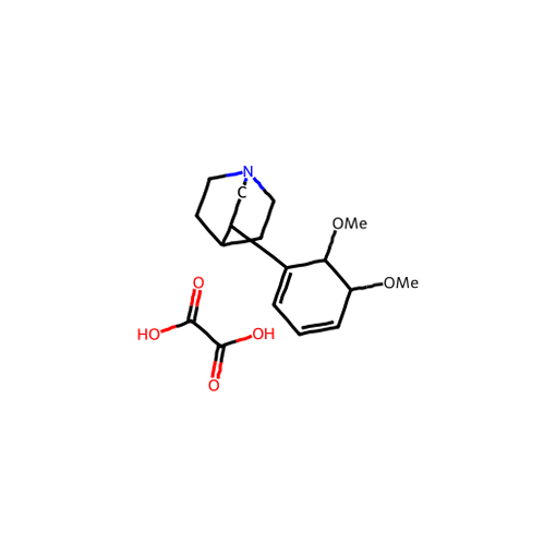 COC1C=CC=C(C2CN3CCC2CC3)C1OC.O=C(O)C(=O)O